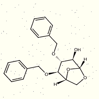 O[C@H]1[C@@H]2OC[C@@H](O2)[C@@H](OCc2ccccc2)[C@@H]1OCc1ccccc1